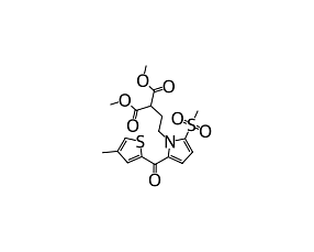 COC(=O)C(CCn1c(C(=O)c2cc(C)cs2)ccc1S(C)(=O)=O)C(=O)OC